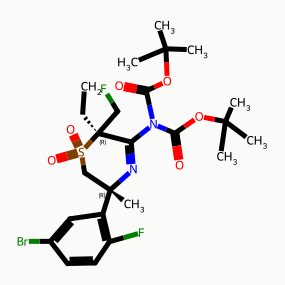 [CH2]C[C@]1(CF)C(N(C(=O)OC(C)(C)C)C(=O)OC(C)(C)C)=N[C@](C)(c2cc(Br)ccc2F)CS1(=O)=O